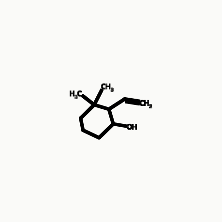 C=CC1C(O)CCCC1(C)C